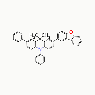 CC1(C)c2cc(-c3ccccc3)ccc2N(c2ccccc2)c2ccc(-c3ccc4oc5ccccc5c4c3)cc21